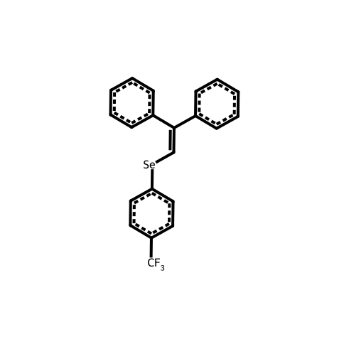 FC(F)(F)c1ccc([Se]C=C(c2ccccc2)c2ccccc2)cc1